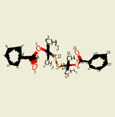 CC(C)(OC(=O)c1ccccc1)SSC(C)(C)OC(=O)c1ccccc1